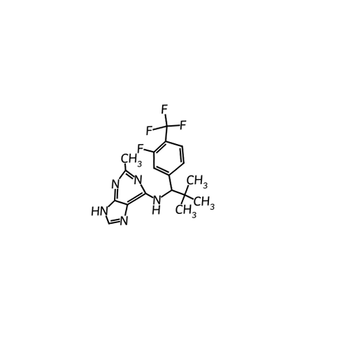 Cc1nc(NC(c2ccc(C(F)(F)F)c(F)c2)C(C)(C)C)c2nc[nH]c2n1